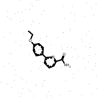 CCOc1ccc(-c2cccc(C(N)=O)n2)cc1